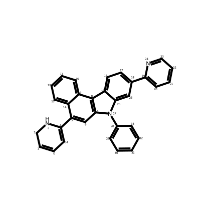 C1=CCNC(c2cc3c(c4ccccc24)c2ccc(-c4ccccn4)cc2n3-c2ccccc2)=C1